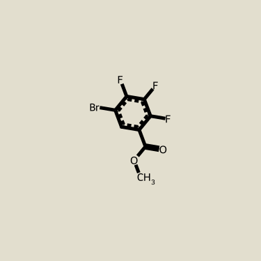 COC(=O)c1cc(Br)c(F)c(F)c1F